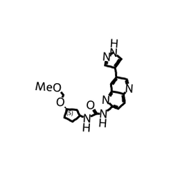 COCO[C@H]1CCC(NC(=O)Nc2ccc3ncc(-c4cn[nH]c4)cc3n2)C1